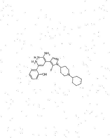 NC(N)=C(/C=C(\N)c1ccccc1O)c1cnn(C2CCN(C3CCCCC3)CC2)c1F